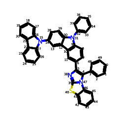 c1ccc(-c2c(-c3ccc4c(c3)c3cc(-n5c6ccccc6c6ccccc65)ccc3n4-c3ccccc3)nc3sc4ccccc4n23)cc1